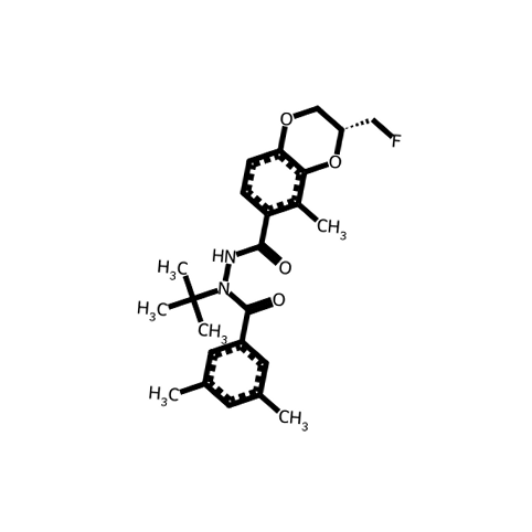 Cc1cc(C)cc(C(=O)N(NC(=O)c2ccc3c(c2C)O[C@@H](CF)CO3)C(C)(C)C)c1